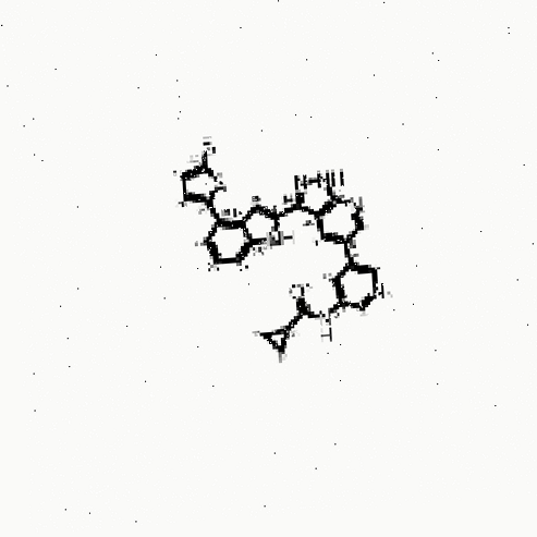 O=C(Nc1cncc(-c2cnc3[nH]nc(-c4cc5c(-c6ccc(F)s6)cccc5[nH]4)c3c2)c1)C1CC1